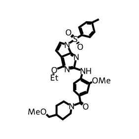 CCOc1nc(Nc2ccc(C(=O)N3CCC(COC)CC3)cc2OC)nc2c1ccn2S(=O)(=O)c1ccc(C)cc1